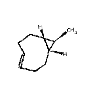 C[C@@H]1[C@H]2CC/C=C/CC[C@@H]12